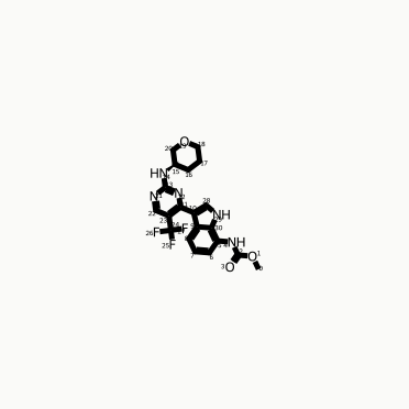 COC(=O)Nc1cccc2c(-c3nc(N[C@@H]4CCCOC4)ncc3C(F)(F)F)c[nH]c12